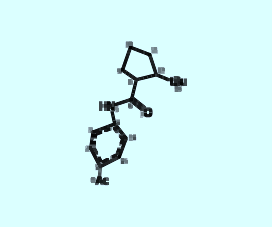 CC(=O)c1ccc(NC(=O)C2CCCC2C(C)(C)C)cc1